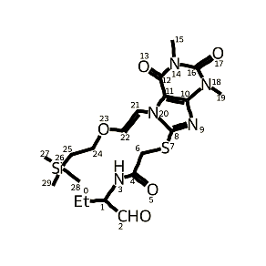 CCC(C=O)NC(=O)CSc1nc2c(c(=O)n(C)c(=O)n2C)n1C=COCC[Si](C)(C)C